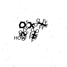 O=C(OCC1(COC(=O)C(F)(F)C(F)(F)F)CSC2(CCCCC2OC(=O)C(F)(F)S(=O)(=O)O)SC1)C(F)(F)C(F)(F)F